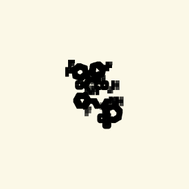 O=C(O)NC(C(=O)Nc1cccc(F)c1CC[C@H]1CNC2CCCS(=O)(=O)N1C2)C1(c2ccc(F)cc2)CCC(F)(F)CC1